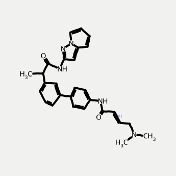 CC(C(=O)Nc1cc2ccccn2n1)c1cccc(-c2ccc(NC(=O)/C=C/CN(C)C)cc2)c1